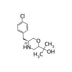 CC(C)(O)C1CN[C@@H](Cc2ccc(Cl)cc2)CO1